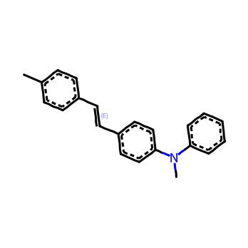 Cc1ccc(/C=C/c2ccc(N(C)c3ccccc3)cc2)cc1